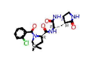 C[Si]1(C)C[C@H](C(=O)N[C@@H](C[C@@H]2CCNC2=O)C(N)=O)N(C(=O)c2ccccc2Cl)C1